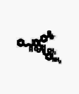 Cc1nc(N)ccc1CNC(=O)Cn1c(-c2ccc([N+](=O)[O-])cc2)cnc(NCCc2ccccc2)c1=O